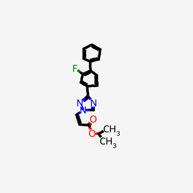 CC(C)OC(=O)/C=C\n1cnc(-c2ccc(-c3ccccc3)c(F)c2)n1